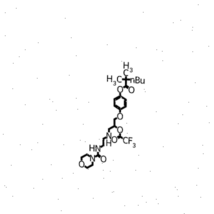 CCCCC(C)(C)C(=O)Oc1ccc(OCC(CNCCNC(=O)N2CCOCC2)OC(=O)C(F)(F)F)cc1